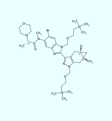 C[C@@H](C(=O)N(C)c1cc2nc(-c3nn(COCC[Si](C)(C)C)c4c3C[C@@H]3C[C@]3(C)C4)n(COCC[Si](C)(C)C)c2cc1Br)N1CCOCC1